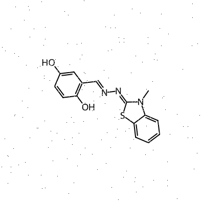 Cn1/c(=N/N=C/c2cc(O)ccc2O)sc2ccccc21